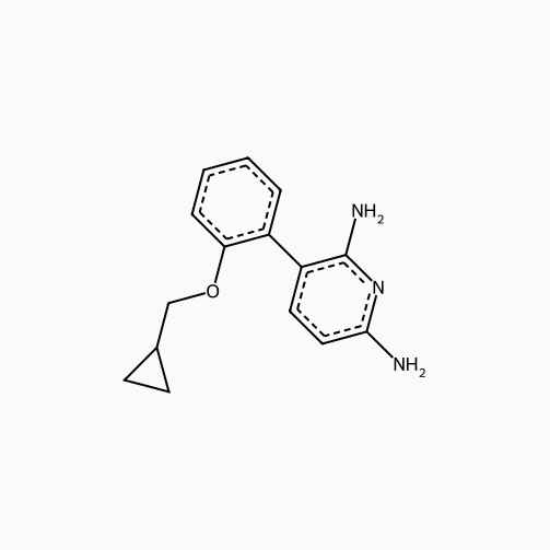 Nc1ccc(-c2ccccc2OCC2CC2)c(N)n1